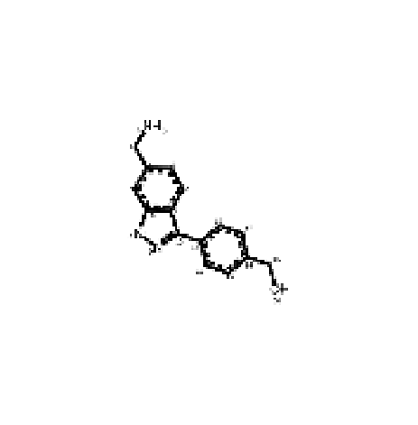 NCc1ccc2c(c1)[N]N=C2c1ccc(CO)cc1